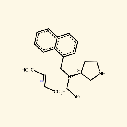 CC(C)CN(Cc1cccc2ccccc12)[C@H]1CCNC1.O=C(O)/C=C/C(=O)O